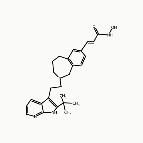 CC(C)(C)c1[nH]c2ncccc2c1CCN1CCCc2cc(/C=C/C(=O)NO)ccc2C1